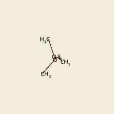 CCCCCCCCCCCCCCCCCCCCCCOc1cc(C=CC(=S)c2ccc(CCC)cc2)cc(OCCCCCCCCCCCCCCCCCCCCCC)c1